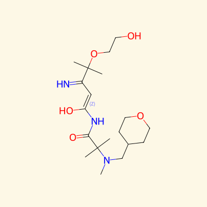 CN(CC1CCOCC1)C(C)(C)C(=O)N/C(O)=C/C(=N)C(C)(C)OCCO